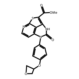 COC(=O)c1sc2nccc3c2c1NC(=O)N3c1ccc(OC2COC2)cc1